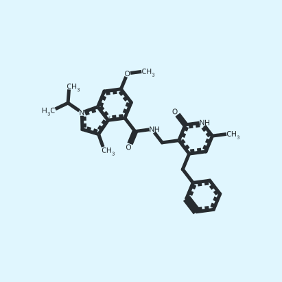 COc1cc(C(=O)NCc2c(Cc3c#cccc3)cc(C)[nH]c2=O)c2c(C)cn(C(C)C)c2c1